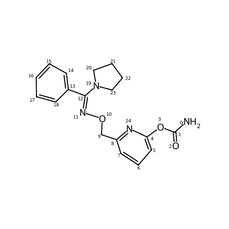 NC(=O)Oc1cccc(CON=C(c2ccccc2)N2CCCC2)n1